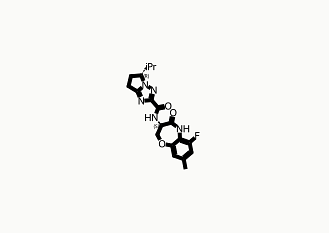 Cc1cc(F)c2c(c1)OC[C@H](NC(=O)c1nc3n(n1)[C@@H](C(C)C)CC3)C(=O)N2